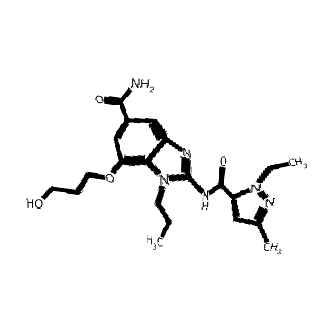 CCCn1c(NC(=O)c2cc(C)nn2CC)nc2cc(C(N)=O)cc(OCCCO)c21